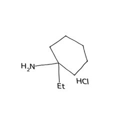 CCC1(N)CCCCC1.Cl